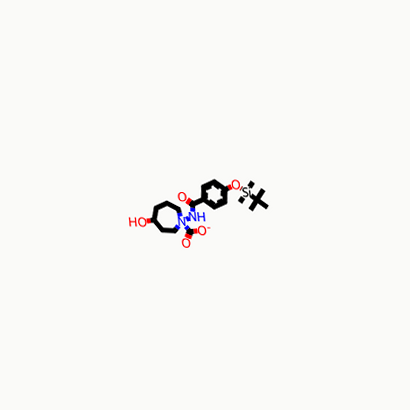 CC(C)(C)[Si](C)(C)Oc1ccc(C(=O)N[N+]2(C(=O)[O-])CCCC(O)CC2)cc1